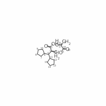 C=C(C(=O)O)C(C1CCCC1)C1CCCC1.C=C(C)C(=O)O